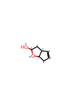 OC1CC2C=CCC2O1